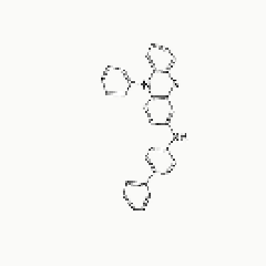 c1ccc(-c2ccc(Nc3ccc4c(c3)Sc3ccccc3N4c3ccccc3)cc2)cc1